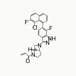 C=CC(=O)N1CCC2[C@H]1CN2c1n[nH]c2c(F)c(-c3cccc4ccc(F)c(Cl)c34)ccc12